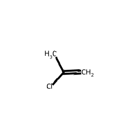 C=C(C)Cl